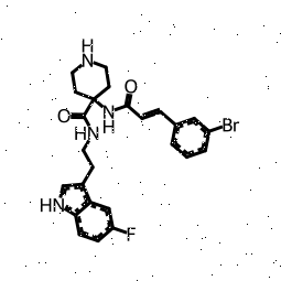 O=C(C=Cc1cccc(Br)c1)NC1(C(=O)NCCc2c[nH]c3ccc(F)cc23)CCNCC1